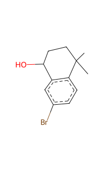 CC1(C)CCC(O)c2cc(Br)ccc21